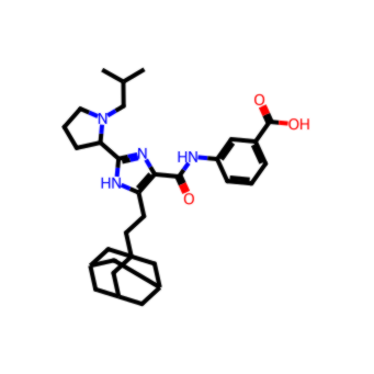 CC(C)CN1CCCC1c1nc(C(=O)Nc2cccc(C(=O)O)c2)c(CCC23CC4CC(CC(C4)C2)C3)[nH]1